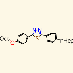 CCCCCCCCOc1ccc(-c2nnc(-c3ccc(CCCCCCC)cc3)s2)cc1